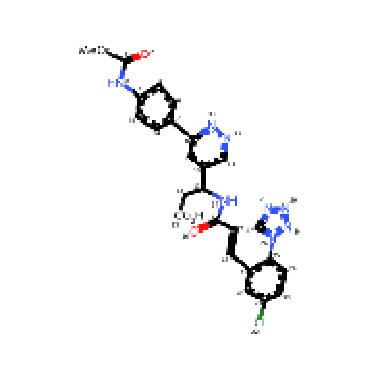 COC(=O)Nc1ccc(-c2cc(C(CC(=O)O)NC(=O)C=Cc3cc(Cl)ccc3-n3cnnn3)cnn2)cc1